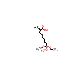 C=C(CCCCCC[Si](OC)(OCC)OCC)C(=O)O